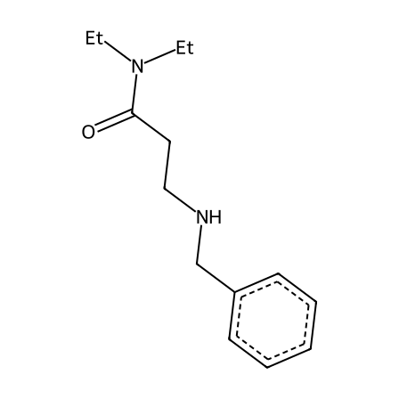 CCN(CC)C(=O)CCNCc1ccccc1